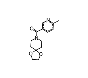 Cc1ccc(C(=O)N2CCC3(CC2)OCCO3)cn1